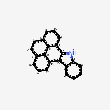 c1ccc2c(c1)[nH]c1c3cccc4ccc5cccc(c21)c5c43